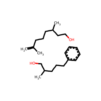 C=C(C)CCCC(C)CCO.CC(CO)CCCc1ccccc1